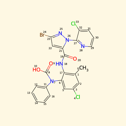 Cc1cc(Cl)cc(N(C(=O)O)c2ccccc2)c1NC(=O)c1cc(Br)nn1-c1ncccc1Cl